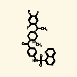 CC(c1cc(F)c(F)cc1F)N1CCN(C(=O)c2ccc(NS(=O)(=O)c3cccc4cccnc34)cc2)[C@@H](C)C1